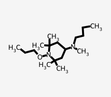 CCCCN(C)C1CC(C)(C)N(OCCC)C(C)(C)C1